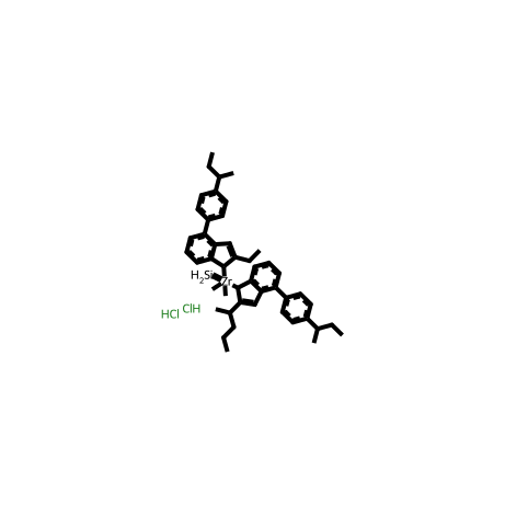 CCCC(C)C1=Cc2c(-c3ccc(C(C)CC)cc3)cccc2[CH]1[Zr]([CH3])([CH3])(=[SiH2])[CH]1C(CC)=Cc2c(-c3ccc(C(C)CC)cc3)cccc21.Cl.Cl